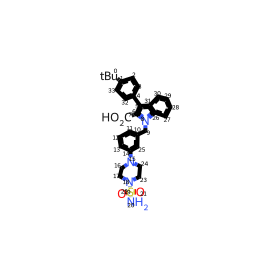 CC(C)(C)c1ccc(-c2c(C(=O)O)n(Cc3cccc(N4CCN(S(N)(=O)=O)CC4)c3)c3ccccc23)cc1